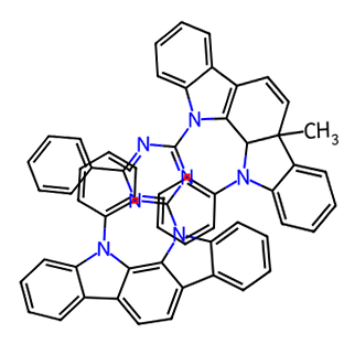 CC12C=Cc3c(n(-c4nc(-c5ccccc5)nc(-n5c6ccccc6c6ccc7c8ccccc8n(-c8ccccc8)c7c65)n4)c4ccccc34)C1N(c1ccccc1)c1ccccc12